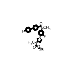 CN(C(=O)c1ccc(-c2ccc(F)cc2)cc1)c1ccc(N2CCC(N(C)C(=O)OC(C)(C)C)C2)c(F)c1